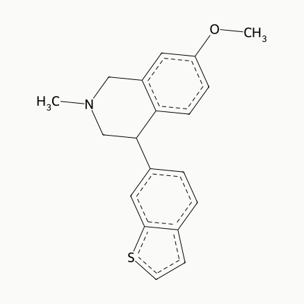 COc1ccc2c(c1)CN(C)CC2c1ccc2ccsc2c1